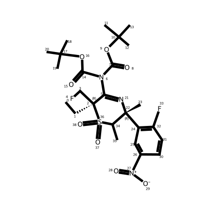 CC[C@]1(CF)C(N(C(=O)OC(C)(C)C)C(=O)OC(C)(C)C)=N[C@](C)(c2cc([N+](=O)[O-])ccc2F)C(C)S1(=O)=O